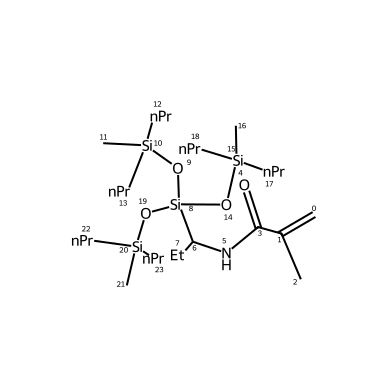 C=C(C)C(=O)NC(CC)[Si](O[Si](C)(CCC)CCC)(O[Si](C)(CCC)CCC)O[Si](C)(CCC)CCC